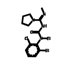 CCc1cccc(Cl)c1N(CC)C(=O)NC(=NC)N1CCCC1